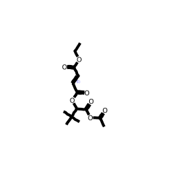 CCOC(=O)/C=C/C(=O)OC(C(=O)OC(C)=O)C(C)(C)C